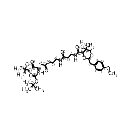 COc1ccc(CC2OCC(C)(C)[C@H](C(=O)NCCC(=O)NCCSC(=O)C[C@H](NC(=O)OC(C)(C)C)C(=O)OC(C)(C)C)O2)cc1